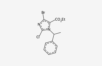 CCOC(=O)c1c(Br)nc(Cl)n1C(C)c1ccccc1